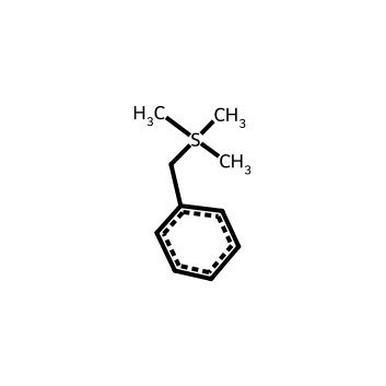 CS(C)(C)Cc1ccccc1